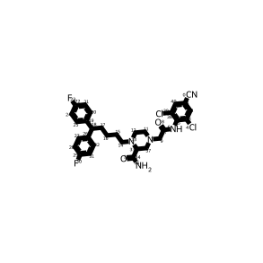 N#Cc1cc(Cl)c(NC(=O)CN2CCN(CCCCC(c3ccc(F)cc3)c3ccc(F)cc3)C(C(N)=O)C2)c(Cl)c1